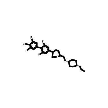 CCC[C@H]1CC[C@H](CCC2CCC(c3cc(F)c(-c4cc(F)c(Cl)c(F)c4)c(F)c3)CC2)CC1